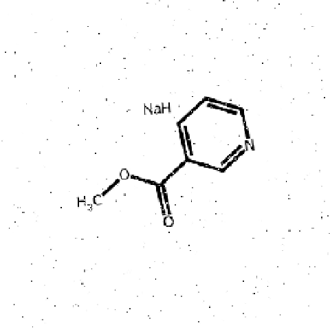 COC(=O)c1cccnc1.[NaH]